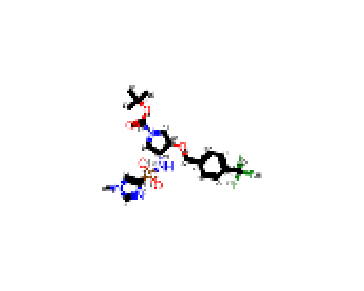 Cn1cnc(S(=O)(=O)N[C@@H]2CN(C(=O)OC(C)(C)C)C[C@H]2OCc2ccc(C(F)(F)F)cc2)c1